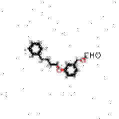 O=COCc1cccc(OCCCCc2ccccc2)c1